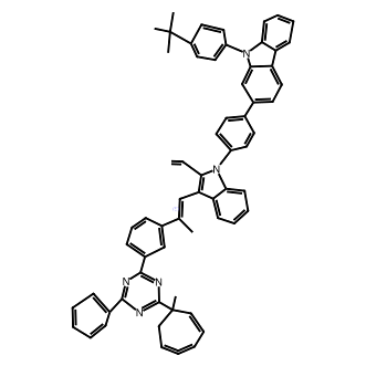 C=Cc1c(/C=C(\C)c2cccc(-c3nc(-c4ccccc4)nc(C4(C)C=CC=C=CC4)n3)c2)c2ccccc2n1-c1ccc(-c2ccc3c4ccccc4n(-c4ccc(C(C)(C)C)cc4)c3c2)cc1